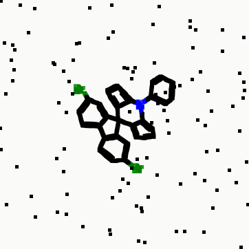 Brc1ccc2c(c1)C1(c3cc(Br)ccc3-2)c2ccccc2N(c2ccccc2)c2ccccc21